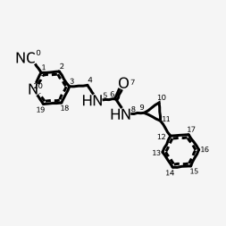 N#Cc1cc(CNC(=O)NC2CC2c2ccccc2)ccn1